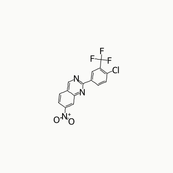 O=[N+]([O-])c1ccc2cnc(-c3ccc(Cl)c(C(F)(F)F)c3)nc2c1